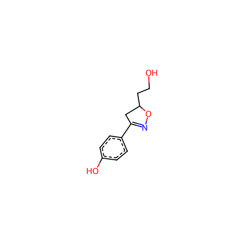 OCCC1CC(c2ccc(O)cc2)=NO1